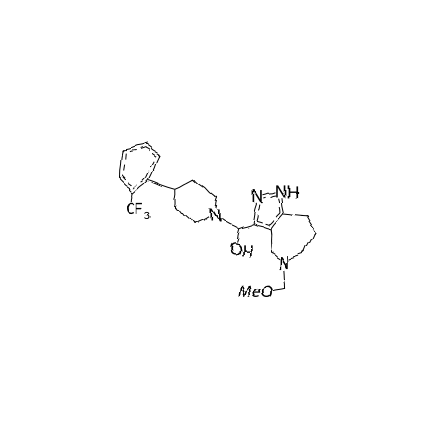 COCN1CCCc2[nH]nc(C(O)N3CCC(c4ccccc4C(F)(F)F)CC3)c2C1